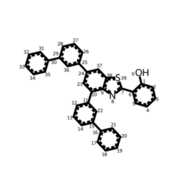 Oc1ccccc1-c1nc2c(-c3cccc(-c4ccccc4)c3)cc(-c3cccc(-c4ccccc4)c3)cc2s1